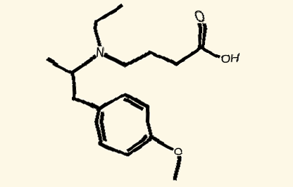 CCN(CCCC(=O)O)C(C)Cc1ccc(OC)cc1